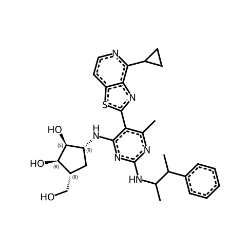 Cc1nc(NC(C)C(C)c2ccccc2)nc(N[C@@H]2C[C@H](CO)[C@@H](O)[C@H]2O)c1-c1nc2c(C3CC3)nccc2s1